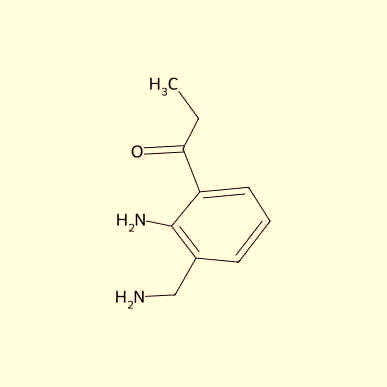 CCC(=O)c1cccc(CN)c1N